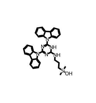 C[Si](C)(O)CCCNC1N=C(n2c3ccccc3c3ccccc32)N=C(n2c3ccccc3c3ccccc32)N1